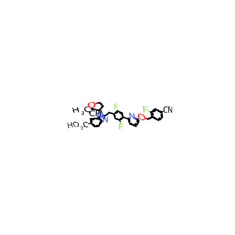 CC1(C)OCCC1n1c(Cc2cc(F)c(-c3cccc(OCc4ccc(C#N)cc4F)n3)cc2F)nc2ccc(C(=O)O)cc21